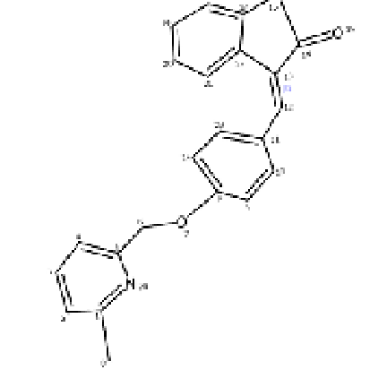 Cc1cccc(COc2ccc(/C=C3/C(=O)Nc4ccccc43)cc2)n1